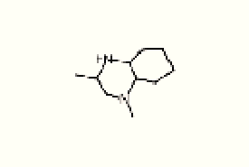 CC1CN(C)C2CCCCC2N1